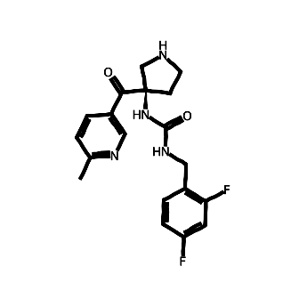 Cc1ccc(C(=O)[C@@]2(NC(=O)NCc3ccc(F)cc3F)CCNC2)cn1